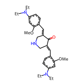 CCN(CC)c1ccc(C=C2CNCC(=Cc3ccc(N(CC)CC)cc3OC)C2=O)c(OC)c1